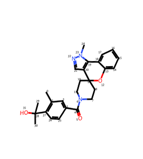 Cc1cc(C(=O)N2CCC3(CC2)Oc2ccccc2-c2c3cnn2C)ccc1C(C)(C)O